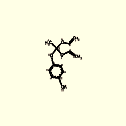 C=COC(C)(OC=C)Oc1ccc(O)cc1